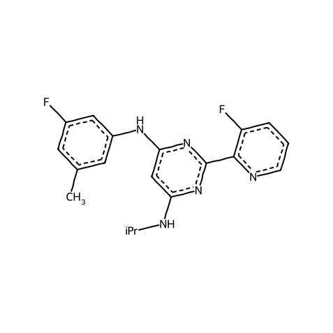 Cc1cc(F)cc(Nc2cc(NC(C)C)nc(-c3ncccc3F)n2)c1